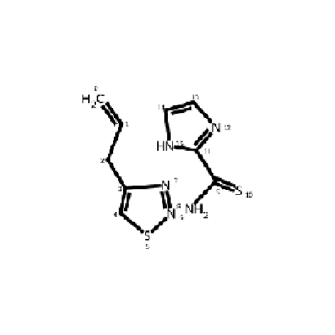 C=CCc1csnn1.NC(=S)c1ncc[nH]1